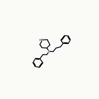 c1ccc(CCCN(CCc2ccccc2)C2CCNCC2)cc1